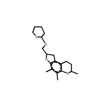 Cc1c(C)c2c(c3c1OC(C)CC3)CC(COC1CCCCO1)O2